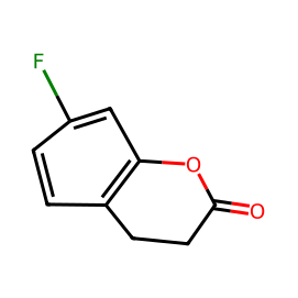 O=C1CCc2ccc(F)cc2O1